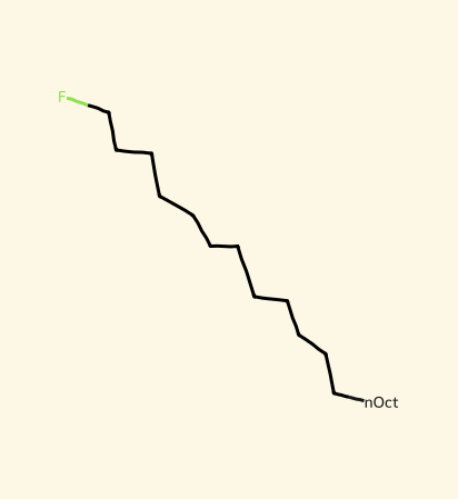 [CH2]CCCCCCCCCCCCCCCCCCCF